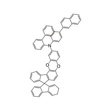 C1=C2C(=CCC1)C1(c3ccccc32)c2ccccc2-c2c1ccc1c2Oc2cc(N(c3ccc(-c4ccc5ccccc5c4)cc3)c3ccccc3-c3ccccc3)ccc2O1